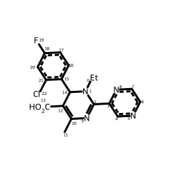 CCN1C(c2cnccn2)=NC(C)=C(C(=O)O)C1c1ccc(F)cc1Cl